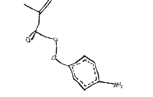 C=C(C)C(=O)OOc1ccc(N)cc1